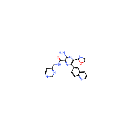 Nc1nc(-c2ncco2)c(-c2ccc3ncccc3c2)nc1C(=O)NCc1ccncn1